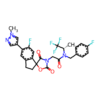 C[C@H](N(Cc1ccc(F)cc1)C(=O)CN1C(=O)OC2(CCc3cc(-c4cnn(C)c4)c(F)cc32)C1=O)C(F)(F)F